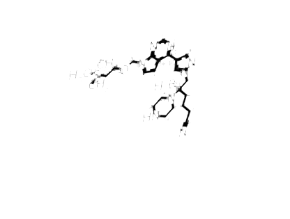 B[C@@](CCCC#N)(Cn1cc(-c2ncnc3c2ccn3COCCS(C)(C)C)cn1)N1CCNCC1